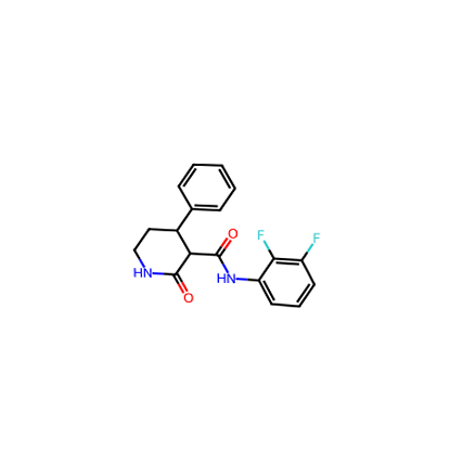 O=C1NCCC(c2ccccc2)C1C(=O)Nc1cccc(F)c1F